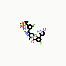 CC1c2nn(C)c(-c3cc(Cl)cc(C4(NS(C)(=O)=O)CC4)c3)c2CCN1C(=O)c1cc(F)cc(-c2ccc(=O)[nH]c2)c1Cl